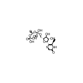 C#Cc1[nH]c(=O)cnc1[C@@H]1O[C@H](COP(=O)(O)OP(=O)(O)OP(=O)(O)O)C(O)[C@@H]1O